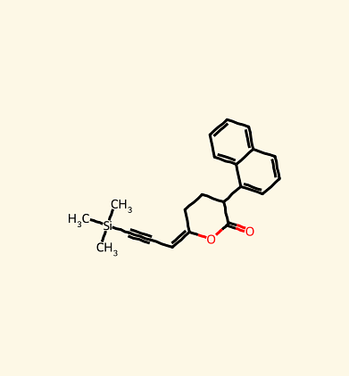 C[Si](C)(C)C#CC=C1CCC(c2cccc3ccccc23)C(=O)O1